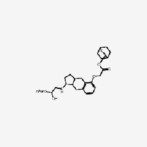 CCCCCC(O)CPC1CCC2Cc3c(cccc3OCC(=O)OC3CC4CCC3CC4)CC21